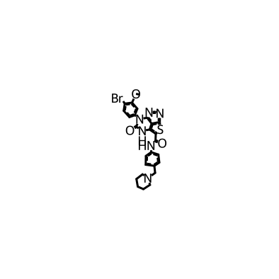 COc1cc(N2C(=O)Nc3c(C(=O)Nc4ccc(CN5CCCCC5)cc4)sc4ncnc2c34)ccc1Br